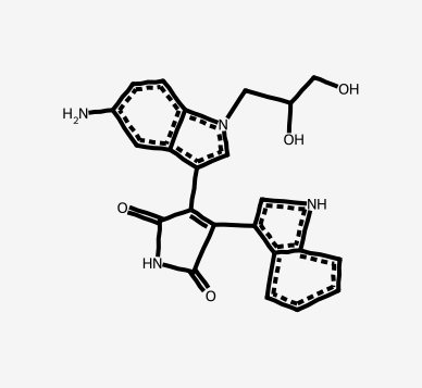 Nc1ccc2c(c1)c(C1=C(c3c[nH]c4ccccc34)C(=O)NC1=O)cn2CC(O)CO